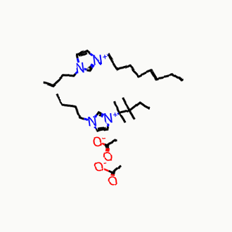 CC(=O)[O-].CC(=O)[O-].CCCCCCCC[n+]1ccn(CCCC)c1.CCCCn1cc[n+](C(C)(C)C(C)(C)CC)c1